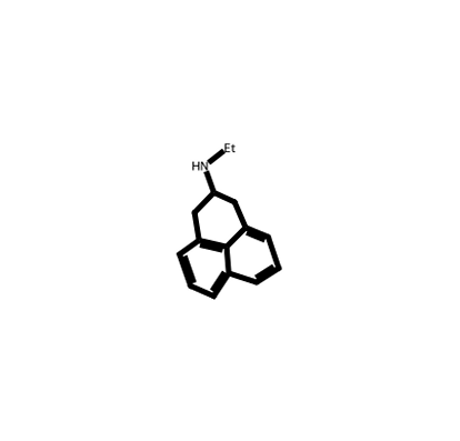 CCNC1Cc2cccc3cccc(c23)C1